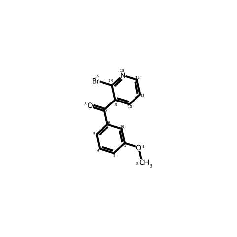 COc1cccc(C(=O)c2cccnc2Br)c1